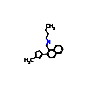 CCCCN=Cc1c(C2=CC(C)=CC2)ccc2ccccc12